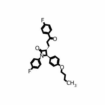 CCCCOc1ccc([C@@H]2[C@@H](CCC(=O)c3ccc(F)cc3)C(=O)N2c2ccc(F)cc2)cc1